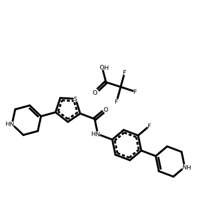 O=C(Nc1ccc(C2=CCNCC2)c(F)c1)c1cc(C2=CCNCC2)cs1.O=C(O)C(F)(F)F